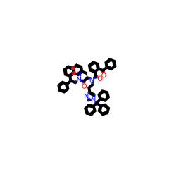 O=C(c1ccccc1)c1ccccc1C(=O)N(CCc1cn(C(c2ccccc2)(c2ccccc2)c2ccccc2)cn1)[C@H](Cc1ccccc1)C(=O)NCC(c1ccccc1)c1ccccc1